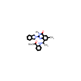 COC(=O)c1ccccc1NC(C)c1cc(C)cc2c(=O)n(C(C)C)c(N3Cc4ccccc4C3)nc12